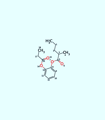 CCCC(C)C(=O)Oc1ccccc1OC(=O)CC